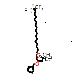 CCC(C)(CC)CC(COCCCCCCCCCCCCCCCCC(F)(C(F)(F)F)C(F)(F)F)OCc1ccccc1